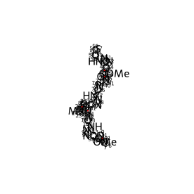 C=CC(=O)N1C2CCC1CC(Oc1cc3c(Nc4ccc5c(C67CCC(CC(Oc8cc9c(Nc%10ccn%11c(C%12%13CCC(CC(Oc%14cc%15c(Nc%16ccc%17ccsc%17c%16)ncnc%15cc%14OC)C%12)N%13C(=O)C=C)ccc%11c%10)ncnc9cc8OC)C6)N7C(=O)C=C)ccn5c4)ncnc3cc1OC)C2